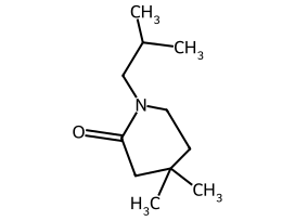 CC(C)CN1CCC(C)(C)CC1=O